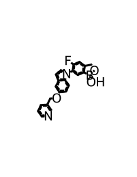 OB1OCc2cc(F)c(-n3ccc4cc(OCc5cccnc5)ccc43)cc21